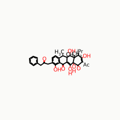 CC(=O)C1=C(O)C(C(C)C)[C@@]2(C)[C@H](O)[C@]3(C)C(=C(O)[C@@]2(O)C1=O)C(=O)c1c(ccc(CC(=O)Cc2ccccc2)c1O)[C@H]3C